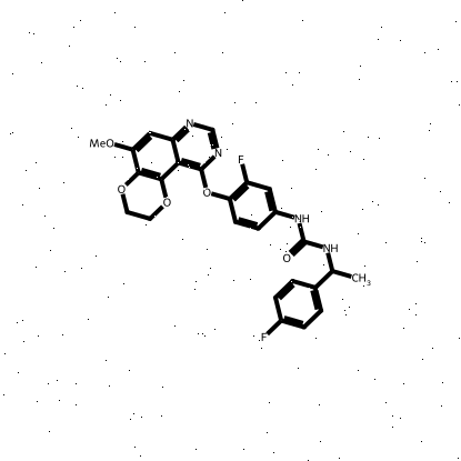 COc1cc2ncnc(Oc3ccc(NC(=O)NC(C)c4ccc(F)cc4)cc3F)c2c2c1OCCO2